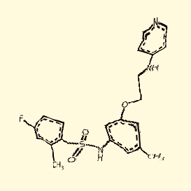 Cc1cc(NS(=O)(=O)c2ccc(F)cc2C)cc(OCCNc2ccncc2)c1